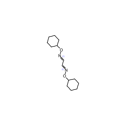 C(/C=N/OC1CCCCC1)=N\OC1CCCCC1